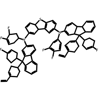 C=CC1=CC=C(C2(C3CC=C(F)CC3)C3C=CC=CC3C3C=CC(N(c4ccc(F)c(F)c4)c4ccc5c(c4)C4C=C(N(c6ccc7c(c6)C(C6CC=C(F)CC6)(C6CC=C(C=C)CC6)c6ccccc6-7)C6CC=C(F)C(F)C6)C=CC4S5)=CC32)CC1